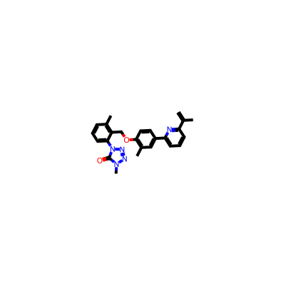 C=C(C)c1cccc(-c2ccc(OCc3c(C)cccc3-n3nnn(C)c3=O)c(C)c2)n1